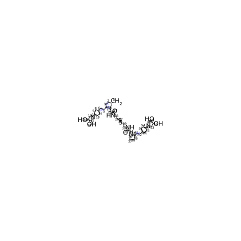 C=C\C=C/C(/C=C/c1ccc(N2CC(O)C(O)C2)cc1)=N/CC(=O)NCCSSCCNC(=O)C[n+]1ccccc1/C=C/c1ccc(N2CC(O)C(O)C2)cc1